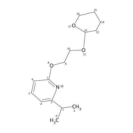 CC(C)c1cccc(OCCOC2CCCCO2)n1